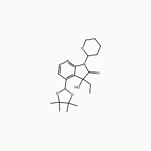 CCC1(O)C(=O)N(C2CCCCO2)c2nccc(B3OC(C)(C)C(C)(C)O3)c21